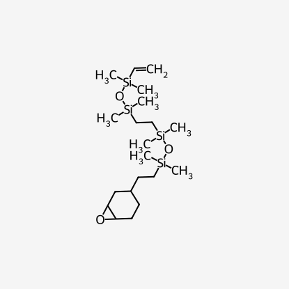 C=C[Si](C)(C)O[Si](C)(C)CC[Si](C)(C)O[Si](C)(C)CCC1CCC2OC2C1